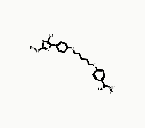 CCNc1nc(-c2ccc(OCCCCCOc3ccc(C(=N)NO)cc3)cc2)c(CC)s1